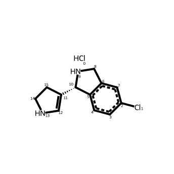 Cl.Clc1ccc2c(c1)CN[C@H]2C1=CNCC1